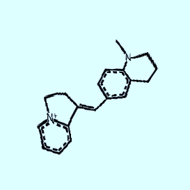 CN1CCCc2cc(C=C3CC[n+]4ccccc43)ccc21